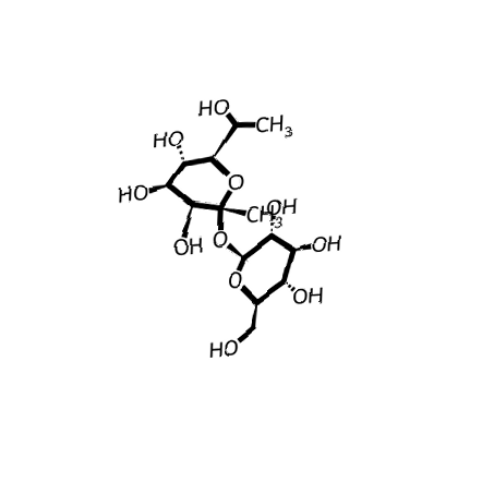 CC(O)[C@H]1O[C@](C)(O[C@@H]2O[C@H](CO)[C@@H](O)[C@H](O)[C@H]2O)[C@@H](O)[C@@H](O)[C@@H]1O